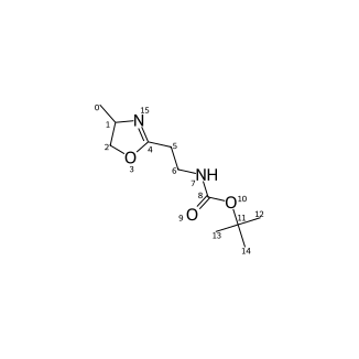 CC1COC(CCNC(=O)OC(C)(C)C)=N1